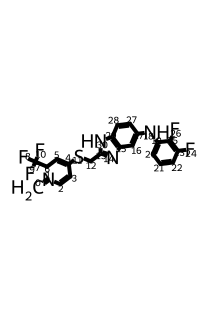 C=N/C=C\C(=C/CC(F)(F)F)SCc1nc2cc(Nc3cccc(F)c3F)ccc2[nH]1